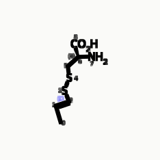 C/C=C/SSC[C@H](N)C(=O)O